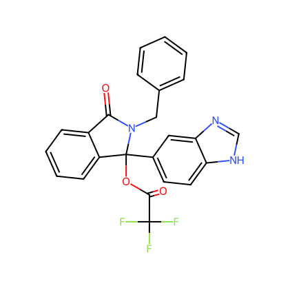 O=C1c2ccccc2C(OC(=O)C(F)(F)F)(c2ccc3[nH]cnc3c2)N1Cc1ccccc1